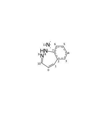 C1=Cc2ccccc2NN=C1.[N]